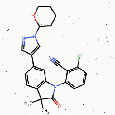 CC1(C)C(=O)N(c2cccc(Cl)c2C#N)c2cc(-c3cnn(C4CCCCO4)c3)ccc21